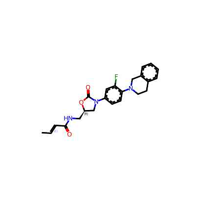 C/C=C/C(=O)NC[C@@H]1CN(c2ccc(N3CCc4ccccc4C3)c(F)c2)C(=O)O1